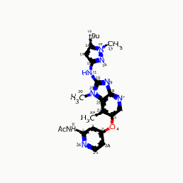 CC(=O)Nc1cc(Oc2cnc3nc(Nc4cc(C(C)(C)C)n(C)n4)n(C)c3c2C)ccn1